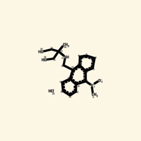 C[S+]([O-])c1c2ccccc2c(CNC(C)(CO)CO)c2ccccc12.Cl